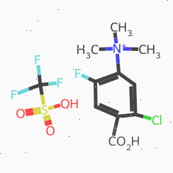 C[N+](C)(C)c1cc(Cl)c(C(=O)O)cc1F.O=S(=O)(O)C(F)(F)F